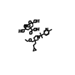 CCOCC1(CCC2CC2)CCN(C(C)(C)c2ccc(C)nc2)C1.O=C(O)CC(O)(CC(=O)O)C(=O)O